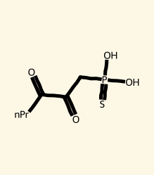 CCCC(=O)C(=O)CP(O)(O)=S